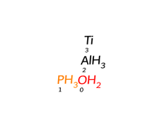 O.P.[AlH3].[Ti]